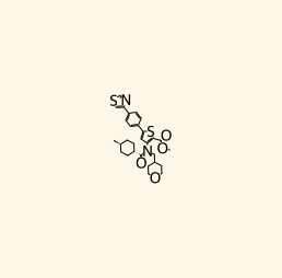 COC(=O)c1sc(-c2ccc(-c3cscn3)cc2)cc1N(CC1CCOCC1)C(=O)[C@H]1CC[C@H](C)CC1